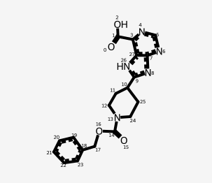 O=C(O)c1ncnc2nc(C3CCN(C(=O)OCc4ccccc4)CC3)[nH]c12